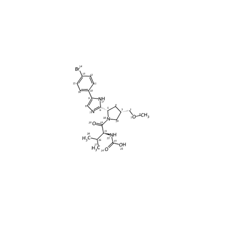 COC[C@H]1C[C@@H](c2ncc(-c3ccc(Br)cc3)[nH]2)N(C(=O)[C@@H](NC(=O)O)C(C)C)C1